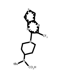 CC(C)(C)N(C(=O)O)C1CCN(c2nc3cscc3nc2C(F)(F)F)CC1